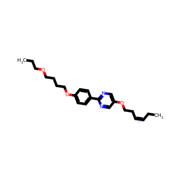 CC/C=C\CCOc1cnc(-c2ccc(OCCCCOCCC)cc2)nc1